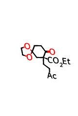 CCOC(=O)[C@@]1(CCC(C)=O)CC2(CCC1=O)OCCO2